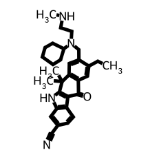 CCc1cc2c(cc1CN(CCNC)C1CCCCC1)C(C)(C)c1[nH]c3cc(C#N)ccc3c1C2=O